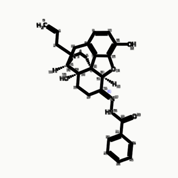 C=CCN1CC[C@]23c4c5ccc(O)c4O[C@H]2/C(=N/NC(=O)c2ccccc2)CC[C@@]3(O)[C@H]1C5